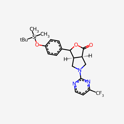 CC(C)(C)[Si](C)(C)Oc1ccc(C2OC(=O)[C@H]3CN(c4nccc(C(F)(F)F)n4)C[C@@H]23)cc1